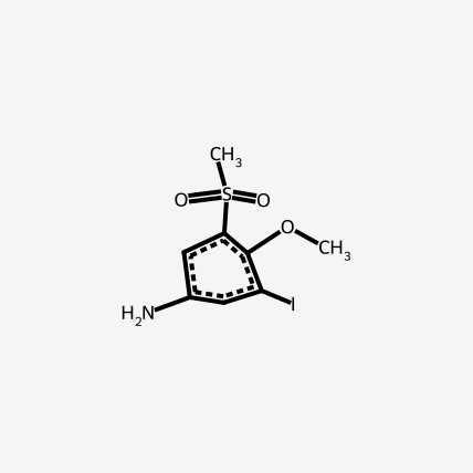 COc1c(I)cc(N)cc1S(C)(=O)=O